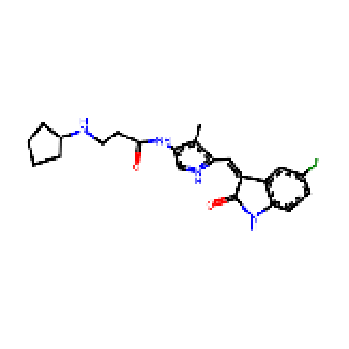 Cc1c(NC(=O)CCNC2CCCC2)c[nH]c1/C=C1\C(=O)Nc2ccc(F)cc21